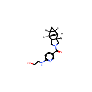 O=C(c1ccc(NCCO)nc1)N1CC2[C@@H](C1)[C@H]1C=C[C@@H]2[C@@H]2C[C@H]12